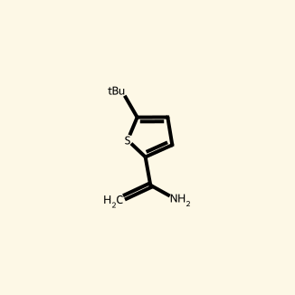 C=C(N)c1ccc(C(C)(C)C)s1